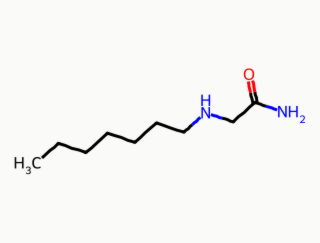 CCCCCCCNCC(N)=O